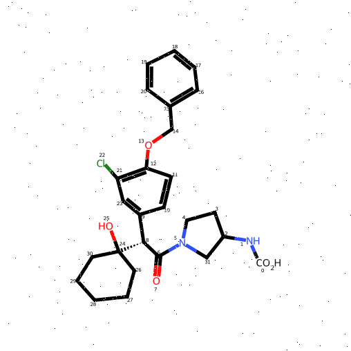 O=C(O)NC1CCN(C(=O)[C@@H](c2ccc(OCc3ccccc3)c(Cl)c2)C2(O)CCCCC2)C1